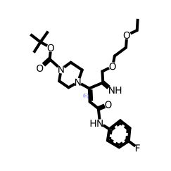 CCOCCOCC(=N)/C(=C\C(=O)Nc1ccc(F)cc1)N1CCN(C(=O)OC(C)(C)C)CC1